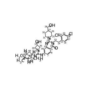 C[C@@H]1[C@@H](/N=C(/Nc2ccc3c(=O)n(CCc4ccc(Cl)cc4Cl)c(N4CCC(CO)CC4)nc3c2)N2CC(O)C2)C[C@@H]2C[C@H]1C2(C)C